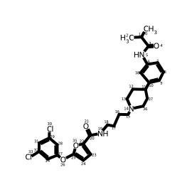 CC(C)C(=O)Nc1cccc(C2CCN(CCCCNC(=O)c3ccc(Oc4cc(Cl)cc(Cl)c4)o3)CC2)c1